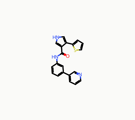 O=C(Nc1cccc(-c2cccnc2)c1)c1c[nH]cc1-c1cccs1